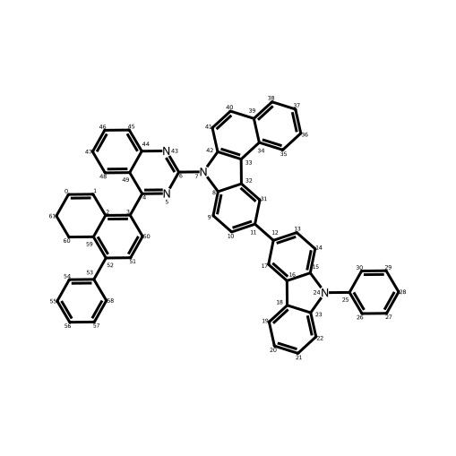 C1=Cc2c(-c3nc(-n4c5ccc(-c6ccc7c(c6)c6ccccc6n7-c6ccccc6)cc5c5c6ccccc6ccc54)nc4ccccc34)ccc(-c3ccccc3)c2CC1